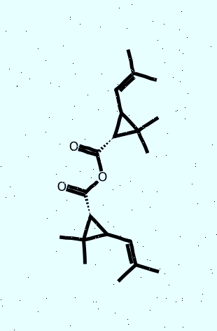 CC(C)=CC1[C@@H](C(=O)OC(=O)[C@@H]2C(C=C(C)C)C2(C)C)C1(C)C